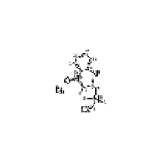 Cc1c(C[N+](C)(C)C=O)nc2ccccc2[n+]1[O-].[Br-]